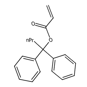 C=CC(=O)OC(CCC)(c1ccccc1)c1ccccc1